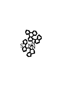 c1ccc2c(c1)ccc1nc(-n3c4ccc5ccccc5c4c4c5c6ccccc6c6ccccc6c5ccc43)nc(-c3cccc4sc5ccccc5c34)c12